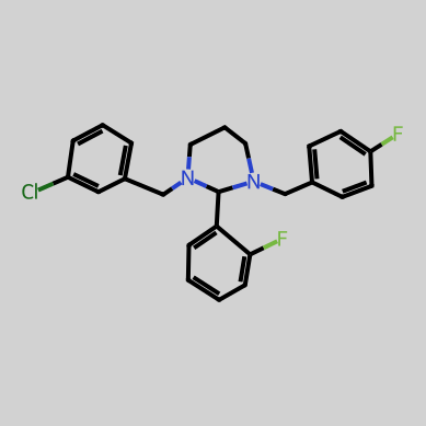 Fc1ccc(CN2CCCN(Cc3cccc(Cl)c3)C2c2ccccc2F)cc1